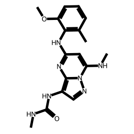 CNC(=O)Nc1cnn2c(NC)cc(Nc3c(C)cccc3OC)nc12